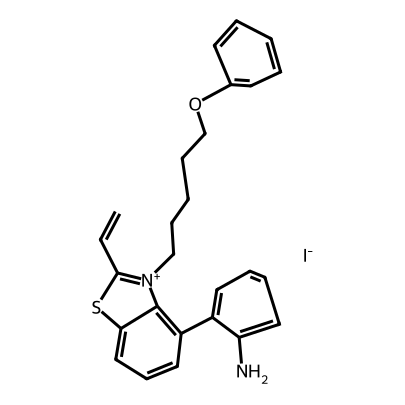 C=Cc1sc2cccc(-c3ccccc3N)c2[n+]1CCCCCOc1ccccc1.[I-]